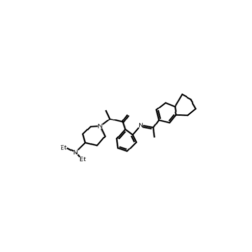 C=C(c1ccccc1/N=C(\C)C1=CCC2CCCCC2=C1)C(C)N1CCC(N(CC)CC)CC1